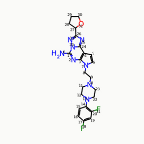 Nc1nc2c(ccn2CCN2CCN(c3ccc(F)cc3F)CC2)c2nc(C3CCCO3)nn12